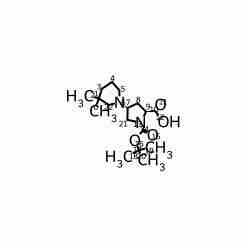 CC1(C)CCCN([C@@H]2C[C@@H](C(=O)O)N(C(=O)OC(C)(C)C)C2)C1